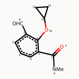 CNC(=O)c1cccc(C=O)c1OC1CC1